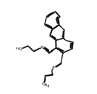 OCCN=Cc1ccc2cc3ccccc3cc2c1C=NCCO